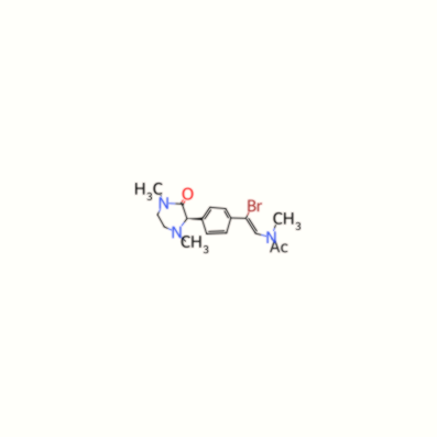 CC(=O)N(C)C=C(Br)c1ccc([C@@H]2C(=O)N(C)CCN2C)cc1